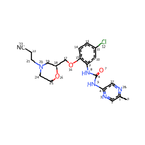 Cc1cnc(NC(=O)Nc2cc(Cl)ccc2OCC2CN(CCC#N)CCO2)cn1